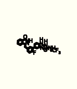 O=C(NCC(F)(F)F)Nc1nc2cc(-c3cc(Cc4n[nH]c(=O)c5ccccc45)ccc3F)ccc2[nH]1